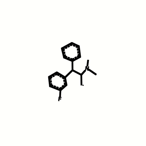 [CH2]C(C(c1ccccc1)c1cccc(F)c1)N(C)C